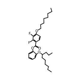 CCCCCCCCOc1ccc(C(=O)Oc2ccccc2OC(CCC)CCCCCC)c(F)c1F